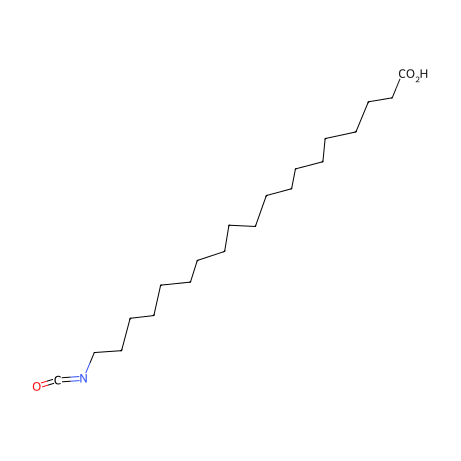 O=C=NCCCCCCCCCCCCCCCCCCC(=O)O